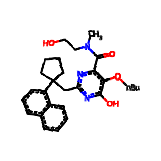 CCCCOc1c(O)nc(CC2(c3cccc4ccccc34)CCCC2)nc1C(=O)N(C)CCO